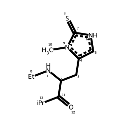 CCNC(Cc1c[nH]c(=S)n1C)C(=O)C(C)C